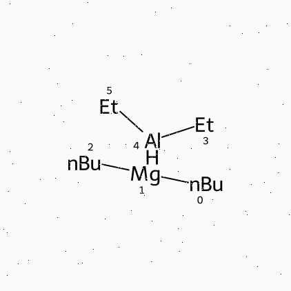 CCC[CH2][Mg][CH2]CCC.C[CH2][AlH][CH2]C